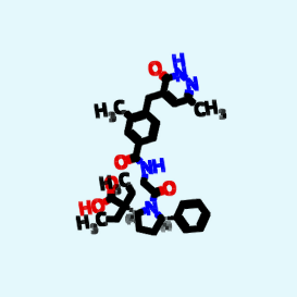 CCC(CC)(C(=O)O)[C@H]1CC[C@@H](c2ccccc2)N1C(=O)CNC(=O)c1ccc(Cc2cc(C)n[nH]c2=O)c(C)c1